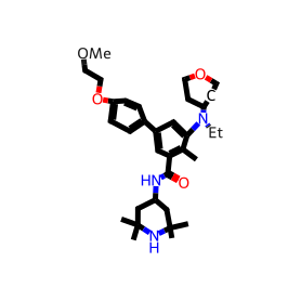 CCN(c1cc(-c2ccc(OCCOC)cc2)cc(C(=O)NC2CC(C)(C)NC(C)(C)C2)c1C)C1CCOCC1